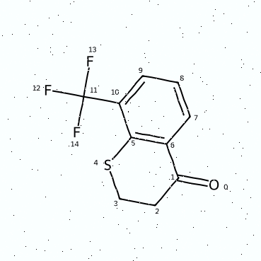 O=C1CCSc2c1cccc2C(F)(F)F